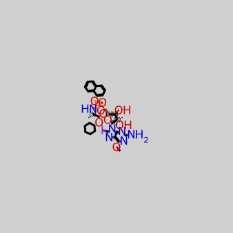 COc1nc(N)nc2c1nc(I)n2[C@@H]1O[C@H](COP(=O)(N[C@@H](C)C(=O)OC2CCCCC2)Oc2cccc3ccccc23)[C@@H](O)[C@@]1(C)O